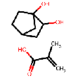 C=C(C)C(=O)O.OC1CC2CCC1(O)C2